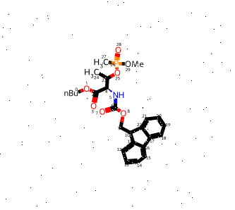 CCCCOC(=O)[C@@H](NC(=O)OCC1c2ccccc2-c2ccccc21)C(C)OP(C)(=O)OC